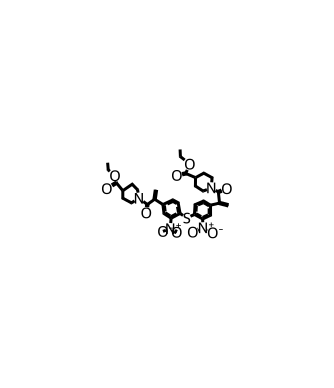 C=C(C(=O)N1CCC(C(=O)OCC)CC1)c1ccc(Sc2ccc(C(=C)C(=O)N3CCC(C(=O)OCC)CC3)cc2[N+](=O)[O-])c([N+](=O)[O-])c1